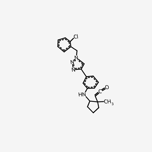 CC1(C=C=O)CCCC1Nc1cccc(-c2cn(Cc3ccccc3Cl)nn2)c1